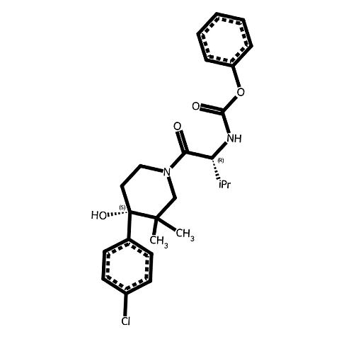 CC(C)[C@@H](NC(=O)Oc1ccccc1)C(=O)N1CC[C@](O)(c2ccc(Cl)cc2)C(C)(C)C1